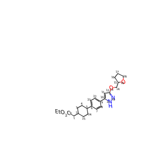 CCOC(=O)CC1CCC(c2ccc(-c3cc(OCC4CCCO4)n[nH]3)cc2)CC1